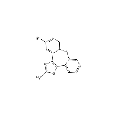 Cc1nc2c(s1)-c1ccccc1Sc1ccc(Br)cc1-2